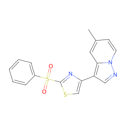 Cc1ccn2ncc(-c3csc(S(=O)(=O)c4ccccc4)n3)c2c1